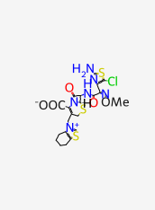 CO/N=C(\C(=O)N[C@@H]1C(=O)N2C(C(=O)[O-])=C(C[n+]3csc4c3CCCC4)CS[C@H]12)c1nc(N)sc1Cl